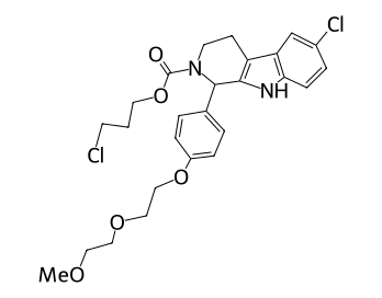 COCCOCCOc1ccc(C2c3[nH]c4ccc(Cl)cc4c3CCN2C(=O)OCCCCl)cc1